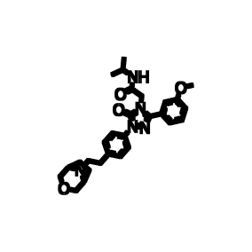 COc1cccc(-c2nn(-c3ccc(CCN4C5CCC4COC5)cc3)c(=O)n2CC(=O)NC(C)C)c1